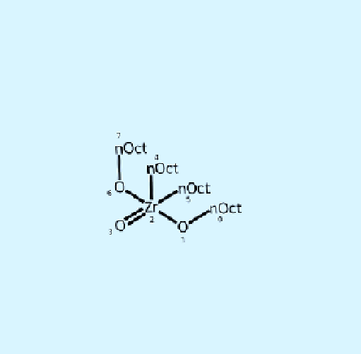 CCCCCCCC[O][Zr](=[O])([CH2]CCCCCCC)([CH2]CCCCCCC)[O]CCCCCCCC